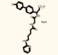 O=C(O)CC(NC(=O)CNC(=O)CCCCNc1ccccn1)c1ccc(-c2ccc(Cl)cc2)cc1.[NaH]